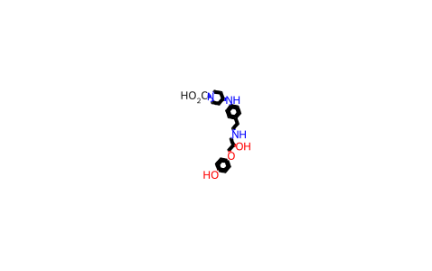 O=C(O)N1CCC(Nc2ccc(CCNCC(O)COc3ccc(O)cc3)cc2)CC1